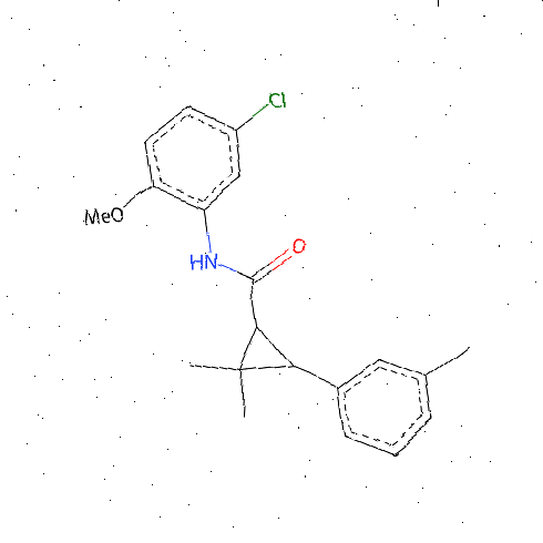 COc1ccc(Cl)cc1NC(=O)C1C(c2cccc(C)c2)C1(C)C